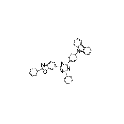 c1ccc(-c2nc(-c3ccc(-n4c5ccccc5c5ccccc54)cc3)nc(-c3ccc4nc(-c5ccccc5)oc4c3)n2)cc1